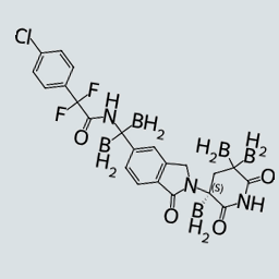 BC1(B)C[C@](B)(N2Cc3cc(C(B)(B)NC(=O)C(F)(F)c4ccc(Cl)cc4)ccc3C2=O)C(=O)NC1=O